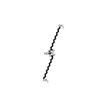 CCCCCCCCCCCCCC(=O)OP(=O)(O)OC(=O)CCCCCCCCCCCCC